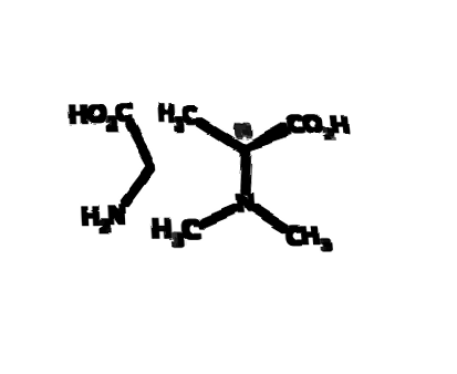 C[C@@H](C(=O)O)N(C)C.NCC(=O)O